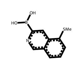 CSc1cccc2cnc(B(O)O)cc12